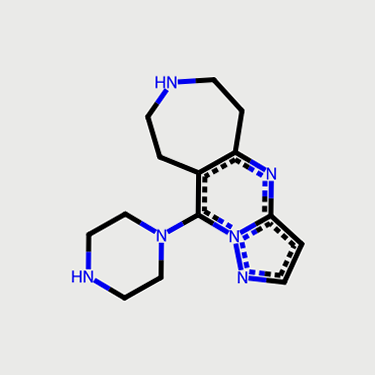 c1cc2nc3c(c(N4CCNCC4)n2n1)CCNCC3